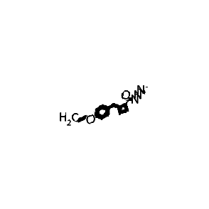 C=CCOc1ccc(CC2CC[C@@H]2C(=O)N=[N+]=[N-])cc1